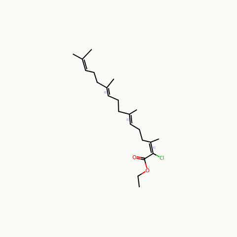 CCOC(=O)/C(Cl)=C(/C)CC/C=C(\C)CC/C=C(\C)CCC=C(C)C